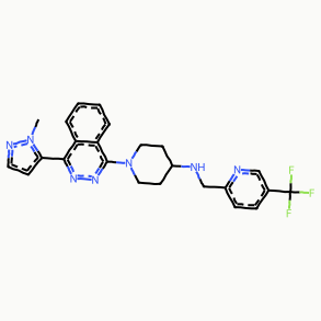 Cn1nccc1-c1nnc(N2CCC(NCc3ccc(C(F)(F)F)cn3)CC2)c2ccccc12